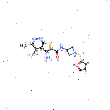 Cc1nnc2sc(C(=O)NC3CN(Sc4ccco4)C3)c(N)c2c1C